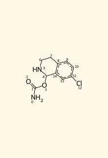 NC(=O)OC1NCCc2ccc(Cl)cc21